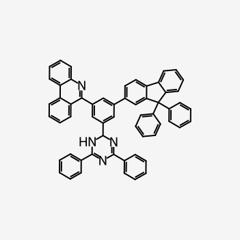 c1ccc(C2=NC(c3cc(-c4ccc5c(c4)C(c4ccccc4)(c4ccccc4)c4ccccc4-5)cc(-c4nc5ccccc5c5ccccc45)c3)NC(c3ccccc3)=N2)cc1